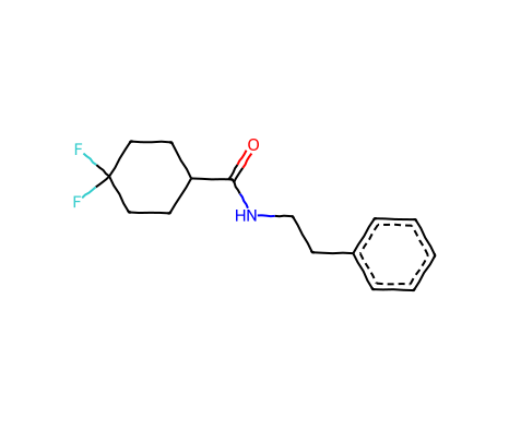 O=C(NCCc1ccccc1)C1CCC(F)(F)CC1